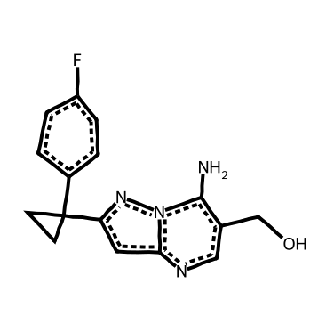 Nc1c(CO)cnc2cc(C3(c4ccc(F)cc4)CC3)nn12